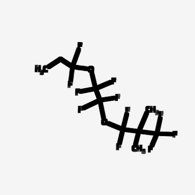 CCC(F)(F)OC(F)(F)C(F)(F)OC(F)(F)C(C)(C)C(F)(F)F